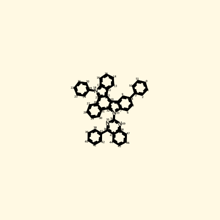 c1ccc(-c2ccc3c(c2)c2c4c5ccccc5n(-c5ccccc5)c4c4ccccc4c2n3-c2nc(-c3ccccc3)c3ccccc3n2)cc1